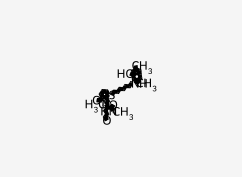 CNC(=O)C(CCC=O)N(C)Cc1c(C=O)cccc1SCCCCCCCNC1(C)CC2CC(C)CC(O)(C2)C1